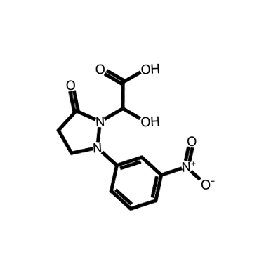 O=C(O)C(O)N1C(=O)CCN1c1cccc([N+](=O)[O-])c1